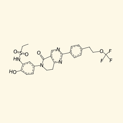 CCS(=O)(=O)Nc1cc(N2CCc3nc(-c4ccc(CCOC(F)(F)F)cc4)ncc3C2=O)ccc1O